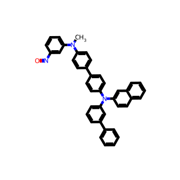 CN(c1ccc(-c2ccc(N(c3cccc(-c4ccccc4)c3)c3ccc4ccccc4c3)cc2)cc1)c1cccc(N=O)c1